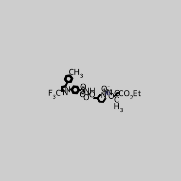 CCOC(=O)OC(C)O/N=[N+](/[O-])N1CCCC(COC(=O)NS(=O)(=O)c2ccc(-n3nc(C(F)(F)F)cc3-c3ccc(C)cc3)cc2)C1